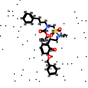 CCCN(CCC1=CC=CC(OCc2ccccc2)C1=O)S(=O)(=O)CN(CCCc1ccccc1)C(=O)OC(C)(C)C